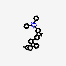 CC1C=C2CC(CCC23c2ccccc2-c2c(-c4ccc5c(c4)-c4cc(-c6nc(-c7ccccc7)nc(-c7ccccc7)n6)ccc4C5(C)C)cccc23)C1